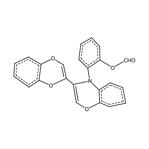 O=COc1ccccc1N1C(C2=COc3ccccc3O2)=COc2ccccc21